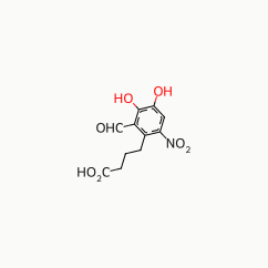 O=Cc1c(O)c(O)cc([N+](=O)[O-])c1CCCC(=O)O